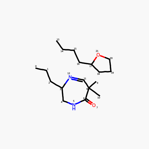 CCCC1CNC(=O)C(C)(C)C=N1.CCCCC1CCCO1